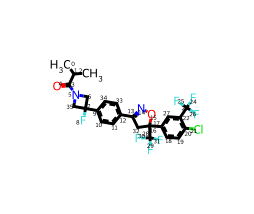 CC(C)C(=O)N1CC(F)(c2ccc(C3=NOC(c4ccc(Cl)c(C(F)(F)F)c4)(C(F)(F)F)C3)cc2)C1